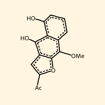 COc1c2cccc(O)c2c(O)c2cc(C(C)=O)oc12